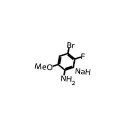 COc1cc(Br)c(F)cc1N.[NaH]